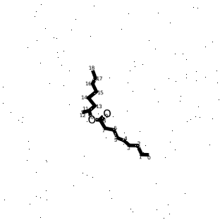 CCCCCCCCC(=O)OC(C)CCCCCC